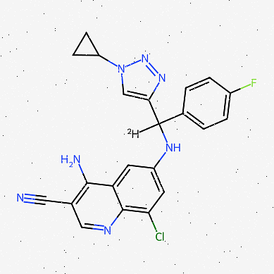 [2H]C(Nc1cc(Cl)c2ncc(C#N)c(N)c2c1)(c1ccc(F)cc1)c1cn(C2CC2)nn1